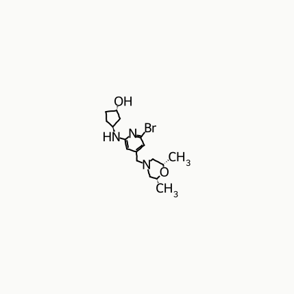 C[C@@H]1CN(Cc2cc(Br)nc(N[C@H]3CC[C@H](O)C3)c2)C[C@H](C)O1